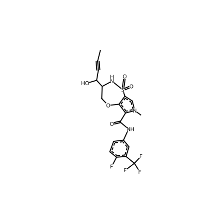 CC#CC(O)C1COc2c(cn(C)c2C(=O)Nc2ccc(F)c(C(F)(F)F)c2)S(=O)(=O)N1